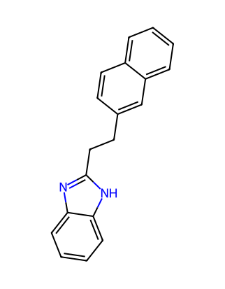 c1ccc2cc(CCc3nc4ccccc4[nH]3)ccc2c1